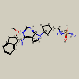 CO[C@H]1Cc2ccccc2[C@H]1Nc1ncnc2c1ccn2[C@H]1CC[C@H](CNS(N)(=O)=O)C1